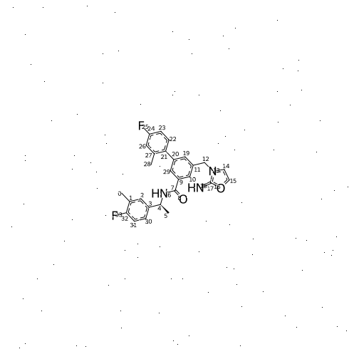 Cc1cc([C@H](C)NC(=O)c2cc(Cn3ccoc3=N)cc(-c3ccc(F)cc3C)c2)ccc1F